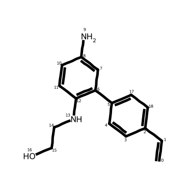 C=Cc1ccc(-c2cc(N)ccc2NCCO)cc1